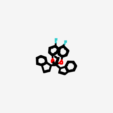 C[C](C)=[Zr]([O]c1ccc(F)cc1)([O]c1ccc(F)cc1)([CH]1C=Cc2ccccc21)[CH]1C=Cc2ccccc21